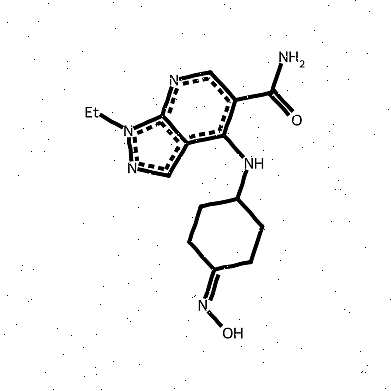 CCn1ncc2c(NC3CCC(=NO)CC3)c(C(N)=O)cnc21